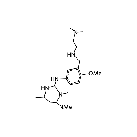 CNC1CC(C)NC(Nc2ccc(OC)c(CNCCN(C)C)c2)N1C